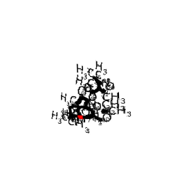 CC1=C[C@]23C(=O)[C@@H](C=C4COC(C)(C)O[C@H]4[C@]2(O)[C@H]1OC(=O)c1c(C(C)(C)C)noc1C)[C@H]1[C@@H](C[C@H]3C)C1(C)C